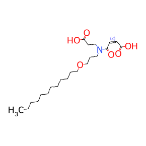 CCCCCCCCCCCCOCCCN(CCC(=O)O)C(=O)/C=C\C(=O)O